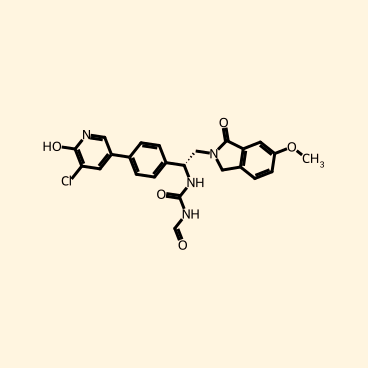 COc1ccc2c(c1)C(=O)N(C[C@H](NC(=O)NC=O)c1ccc(-c3cnc(O)c(Cl)c3)cc1)C2